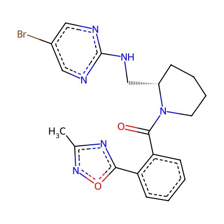 Cc1noc(-c2ccccc2C(=O)N2CCCC[C@H]2CNc2ncc(Br)cn2)n1